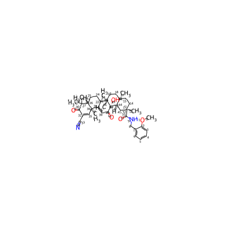 COc1ccccc1CNC(=O)[C@@]1(C)CC[C@]2(C)CC[C@@]3(C)[C@]4(C)CC[C@H]5C(C)(C)C(=O)C(C#N)=C[C@]5(C)C4=CC(=O)[C@]3(O)[C@@H]2C1